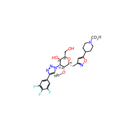 CCCO[C@@H]1[C@@H](n2cc(-c3cc(F)c(F)c(F)c3)nn2)[C@@H](O)[C@@H](CO)O[C@@H]1Cc1cc(C2CCN(C(=O)O)CC2)on1